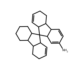 NC1=CC2C(C=C1)C1CCC=CC1C21C2C=CCCC2C2CCCCC21